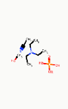 CC#N.CCN(CC)CC.CO.O=P(O)(O)O